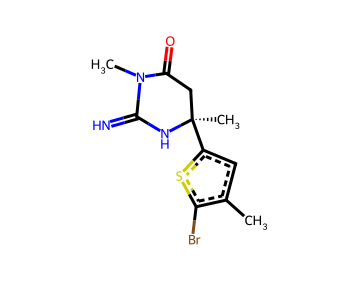 Cc1cc([C@]2(C)CC(=O)N(C)C(=N)N2)sc1Br